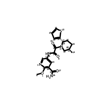 COc1ncc(NC(=O)C(=O)N2C[C@H](C)CC[C@H]2c2cccs2)cc1C(N)=O